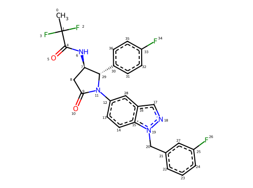 CC(F)(F)C(=O)N[C@@H]1CC(=O)N(c2ccc3c(cnn3Cc3cccc(F)c3)c2)[C@H]1c1ccc(F)cc1